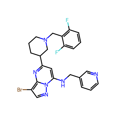 Fc1cccc(F)c1CN1CCCC(c2cc(NCc3cccnc3)n3ncc(Br)c3n2)C1